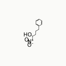 O=[N+]([O-])CC(O)CCCc1ccccc1